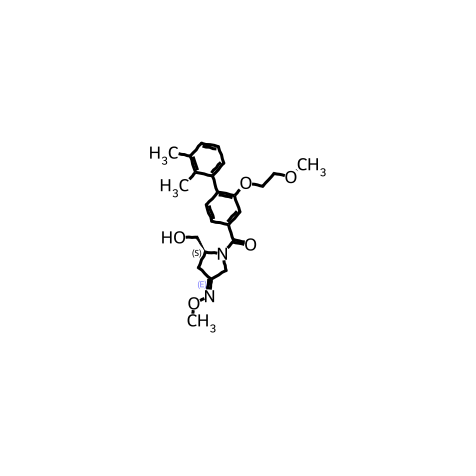 COCCOc1cc(C(=O)N2C/C(=N/OC)C[C@H]2CO)ccc1-c1cccc(C)c1C